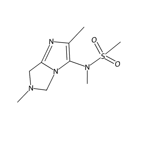 Cc1nc2n(c1N(C)S(C)(=O)=O)CN(C)C2